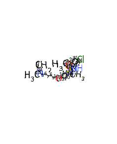 C=CCN(C)CCCCCCOc1ccc(N(C)C(=S)Nc2cc(Cl)ccc2OC)cc1